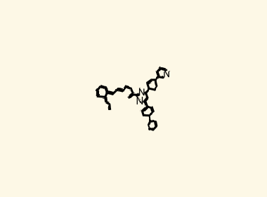 C=C/C=c1/cccc/c1=C\C=C\C=C/C(=C)c1nc(C2=CCC(c3ccccc3)C=C2)cc(C2C=CC(c3cccnc3)=CC2)n1